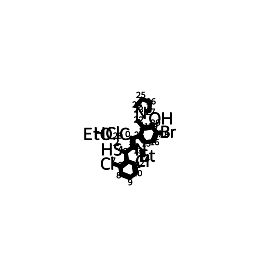 CCOC(=O)c1c(C(S)c2c(Cl)cccc2Cl)n(CC)c2cc(Br)c(O)c(CN3CCCC3)c12.Cl